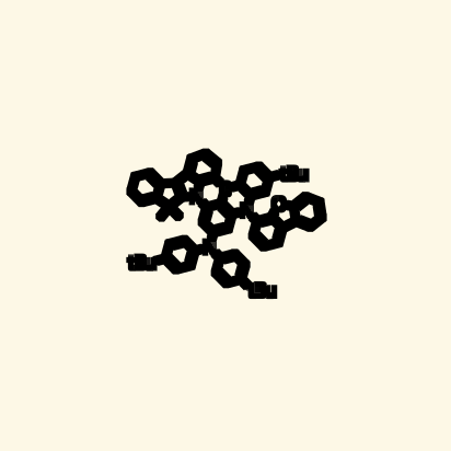 CC(C)(C)C1=CCC2B3c4c(cc(N(c5ccc(C(C)(C)C)cc5)c5ccc(C(C)(C)C)cc5)cc4-n4c5c(c6cccc3c64)C3=CCCC=C3C5(C)C)N(c3cccc4c3oc3ccccc34)C2=C1